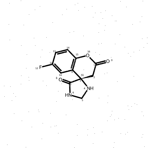 O=C1C[C@]2(NCNC2=O)c2cc(F)ccc2O1